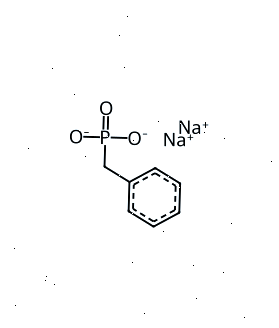 O=P([O-])([O-])Cc1ccccc1.[Na+].[Na+]